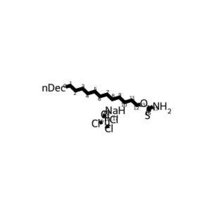 CCCCCCCCCCCCCCCCCCCCCCOC(N)=S.[Cl][Ti]([Cl])([Cl])[Cl].[NaH]